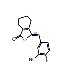 N#Cc1cc(/C=C2\OC(=O)C3=C2CCCC3)ccc1F